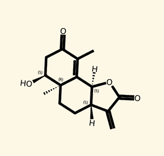 C=C1C(=O)O[C@@H]2C3=C(C)C(=O)C[C@H](O)[C@]3(C)CC[C@@H]12